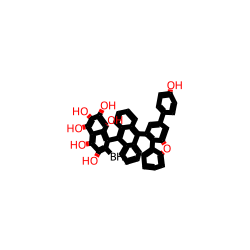 Bc1c(O)c(O)c2c(O)c(O)c(O)c(O)c2c1-c1c2ccccc2c(-c2cc(-c3ccc(O)cc3)cc3oc4ccccc4c23)c2ccccc12